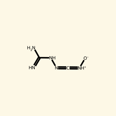 N=C(N)NN=C=[NH+][O-]